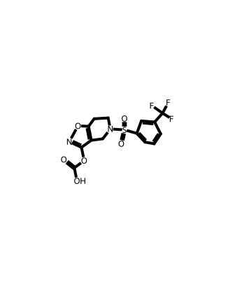 O=C(O)Oc1noc2c1CN(S(=O)(=O)c1cccc(C(F)(F)F)c1)CC2